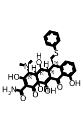 CN(C)[C@@H]1C(O)=C(C(N)=O)C(=O)[C@@]2(O)C(O)=C3C(=O)c4c(O)cccc4[C@H](CSc4ccccc4)[C@H]3[C@H](O)[C@@H]12